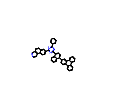 c1ccc(-c2nc(-c3ccc4c(ccc5cnccc54)c3)nc(-c3ccc(-c4ccc5c6ccccc6c6ccccc6c5c4)c4ccccc34)n2)cc1